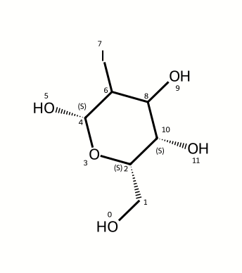 OC[C@@H]1O[C@H](O)C(I)C(O)[C@@H]1O